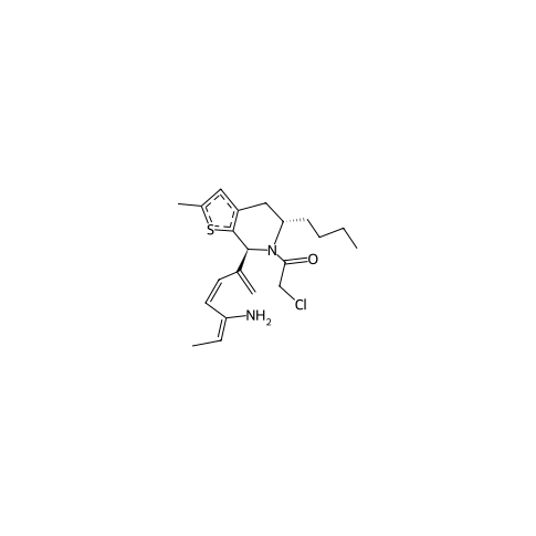 C=C(/C=C\C(N)=C/C)[C@H]1c2sc(C)cc2C[C@H](CCCC)N1C(=O)CCl